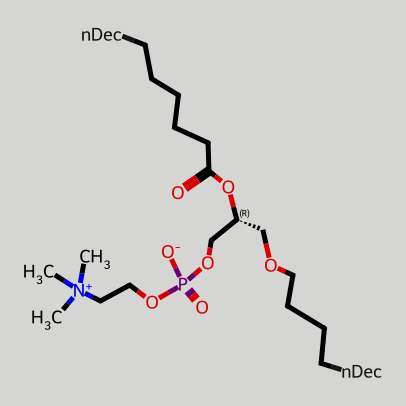 CCCCCCCCCCCCCCCC(=O)O[C@H](COCCCCCCCCCCCCCC)COP(=O)([O-])OCC[N+](C)(C)C